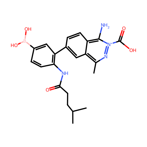 Cc1n[n+](C(=O)O)c(N)c2ccc(-c3cc(B(O)O)ccc3NC(=O)CCC(C)C)cc12